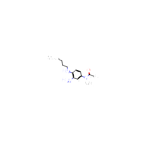 COCCCNc1ccc(N(C)C(=O)C(C)C)cc1N